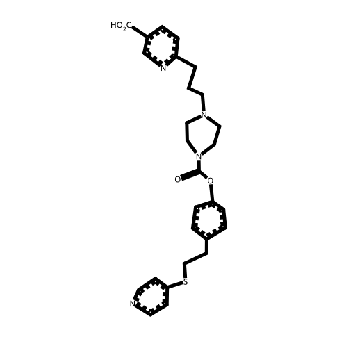 O=C(O)c1ccc(CCCN2CCN(C(=O)Oc3ccc(CCSc4ccncc4)cc3)CC2)nc1